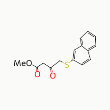 COC(=O)CC(=O)CSc1ccc2ccccc2c1